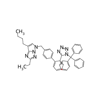 CCCCc1cn(Cc2ccc(-c3ccccc3-c3nnnn3C(c3ccccc3)(c3ccccc3)c3ccccc3)cc2)n2nc(CC)nc12